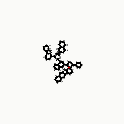 c1ccc(-c2ccc(-c3cc(-c4nc(-c5ccc6ccccc6c5)nc(-c5cccc6c5sc5ccccc56)n4)c4ccccc4c3-n3c4ccccc4c4cc5ccccc5cc43)cc2)cc1